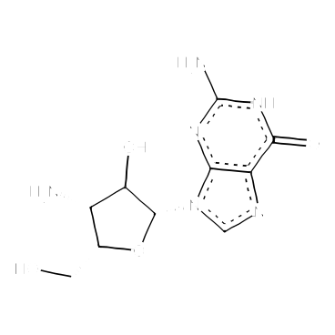 Nc1nc2c(ncn2[C@@H]2O[C@H](CO)[C@H](N)C2O)c(=O)[nH]1